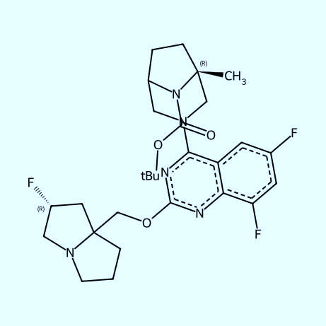 CC(C)(C)OC(=O)N1C2CC[C@]1(C)CN(c1nc(OCC34CCCN3C[C@H](F)C4)nc3c(F)cc(F)cc13)C2